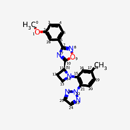 COc1cccc(-c2noc([C@@H]3CCN3c3cc(C)c[c]c3-n3nccn3)n2)c1